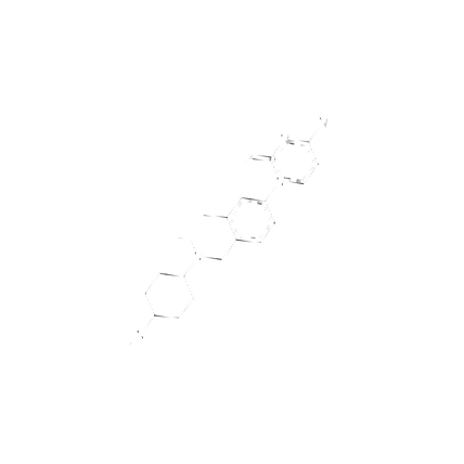 CCN(Cc1ccc(-n2ccc(N)nc2=O)cc1C)C1CCC(N)CC1